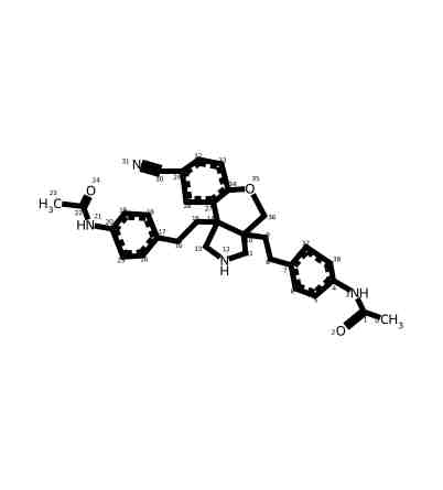 CC(=O)Nc1ccc(CCC23CNCC2(CCc2ccc(NC(C)=O)cc2)c2cc(C#N)ccc2OC3)cc1